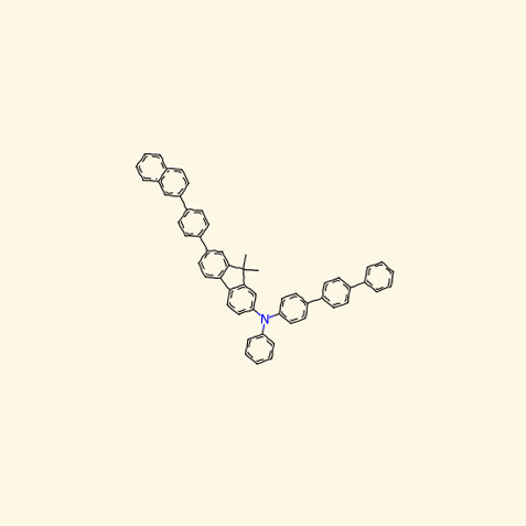 CC1(C)c2cc(-c3ccc(-c4ccc5ccccc5c4)cc3)ccc2-c2ccc(N(c3ccccc3)c3ccc(-c4ccc(-c5ccccc5)cc4)cc3)cc21